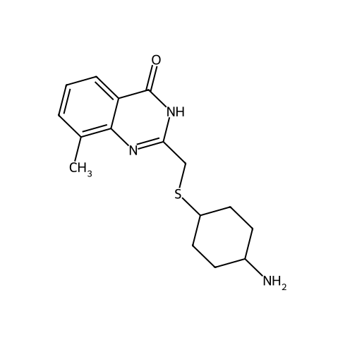 Cc1cccc2c(=O)[nH]c(CSC3CCC(N)CC3)nc12